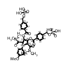 COc1ccc(-n2c(C(=O)N(C)C)c(OC(=O)c3ccc(COP(=O)(O)O)cc3)c(OC(=O)c3ccc(COP(=O)(O)O)cc3)c2C(=O)N(C)C)cc1